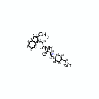 Cc1cc2ccccc2n1CCNC(=O)/C=C/[C@@H]1C=CC(CC(C)C)=CC1